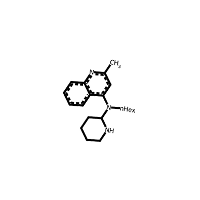 CCCCCCN(c1cc(C)nc2ccccc12)C1CCCCN1